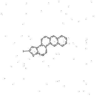 Ic1cc2c(ccc3c4cc5ccccc5cc4ccc23)s1